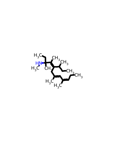 CC/C=C(C)\C=C(/C)C/C(=C(/C)C(C)(CC)NC)C(C)CC